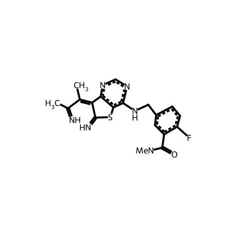 CNC(=O)c1cc(CNc2ncnc3c2SC(=N)/C3=C(/C)C(C)=N)ccc1F